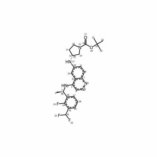 C[C@@H](Nc1cnnc2ccc(N[C@@H]3CCN(C(=O)OC(C)(C)C)C3)cc12)c1cccc(C(F)F)c1F